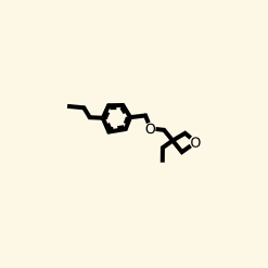 CCCc1ccc(COCC2(CC)COC2)cc1